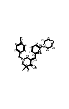 CC1(C)CN(Cc2ccc(F)cc2)C/C(=C\c2cccc(N3CCOCC3)n2)C1=O